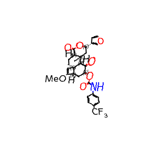 COC1=C[C@@]23CC[C@H]4C(=O)O[C@H](c5ccoc5)C[C@]4(C)[C@H]2C(=O)[C@@H](OC(=O)Nc2ccc(C(F)(F)F)cc2)C[C@@H]13